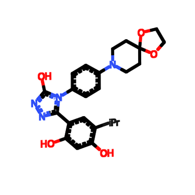 CC(C)c1cc(-c2nnc(O)n2-c2ccc(N3CCC4(CC3)OCCO4)cc2)c(O)cc1O